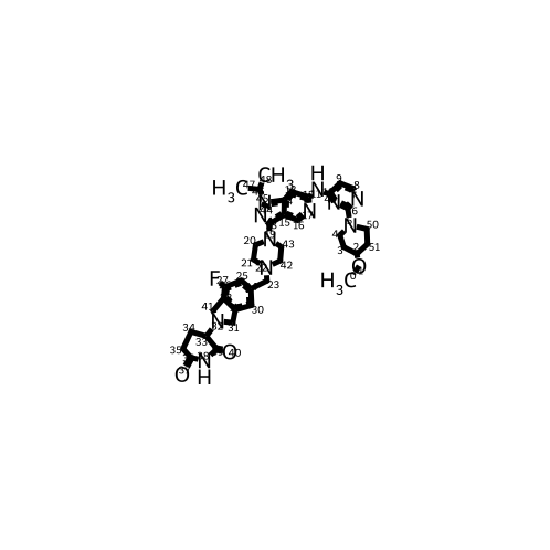 COC1CCN(c2nccc(Nc3cc4c(cn3)c(N3CCN(Cc5cc(F)c6c(c5)CN(C5CCC(=O)NC5=O)C6)CC3)nn4C(C)C)n2)CC1